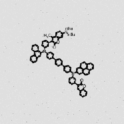 CCCCN(CCCC)c1ccc2c(C)c(-c3cccc(N(c4ccc(-c5ccc(-c6ccc(N(c7cccc(-c8cc9ccccc9oc8=O)c7)c7cc8ccc9cccc%10ccc(c7)c8c9%10)cc6)cc5)cc4)c4cc5ccccc5c5ccccc45)c3)c(=O)oc2c1